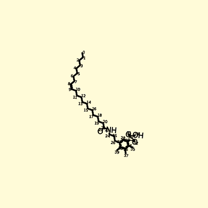 CCCCCCCC/C=C\CCCCCCCCCCCC(=O)NCCCc1cc(S(=O)(=O)O)c(C)c(C)c1C